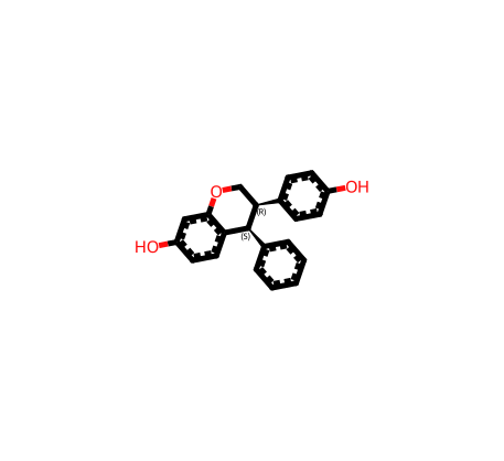 Oc1ccc([C@@H]2COc3cc(O)ccc3[C@@H]2c2ccccc2)cc1